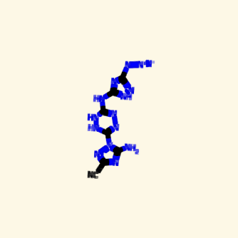 N#Cc1nc(N)n(C2=NN=C(Nc3nc(N=[N+]=[N-])n[nH]3)NN2)n1